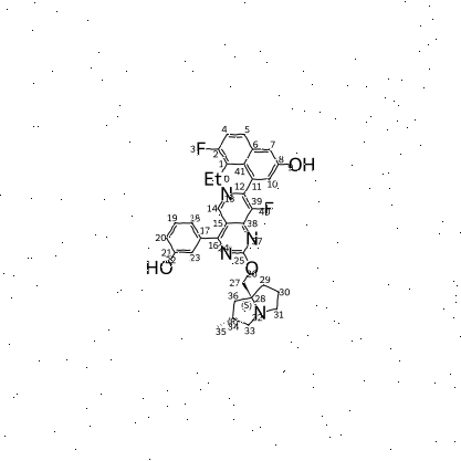 CCc1c(F)ccc2cc(O)cc(-c3ncc4c(-c5cccc(O)c5)nc(OC[C@@]56CCCN5C[C@H](C)C6)nc4c3F)c12